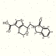 O=C(O)c1csc2c1CCOC2CN1Cc2ccccc2C1=O